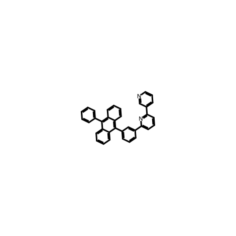 c1ccc(-c2c3ccccc3c(-c3cccc(-c4cccc(-c5cccnc5)n4)c3)c3ccccc23)cc1